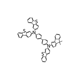 CC1(C)c2ccccc2-c2cc(N(c3ccc(-c4ccc(N(c5ccc6c(c5)sc5ccccc56)c5ccc6sc7ccccc7c6c5)cc4)cc3)c3ccc4c(c3)sc3ccccc34)ccc21